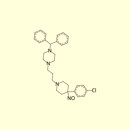 O=NC1(c2ccc(Cl)cc2)CCN(CCCN2CCN(C(c3ccccc3)c3ccccc3)CC2)CC1